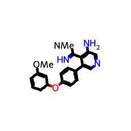 CNC(=N)c1c(N)cncc1-c1ccc(OC2C=C(OC)C=CC2)cc1